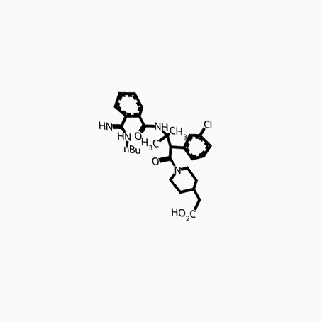 CCCCNC(=N)c1ccccc1C(=O)NC(C)(C)C(C(=O)N1CCC(CC(=O)O)CC1)c1cccc(Cl)c1